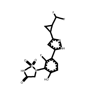 O=C1CN(c2c(O)ccc(-c3cc(C4CC4C(F)F)n[nH]3)c2F)S(=O)(=O)N1